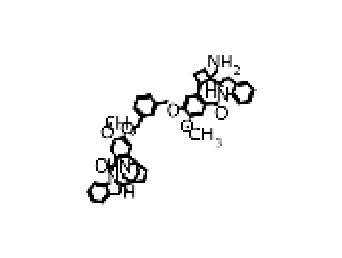 COc1cc2c(cc1OCc1cccc(COc3cc4c(cc3OC)C(=O)N3c5ccccc5C[C@H]3C35CCC4(C3)NC5)c1)C1CCC1(CN)[C@@H]1Cc3ccccc3N1C2=O